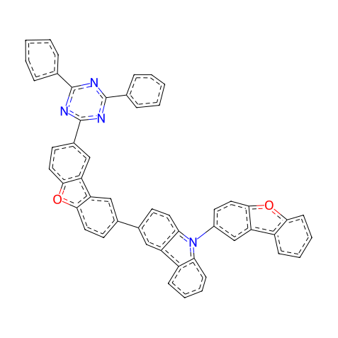 c1ccc(-c2nc(-c3ccccc3)nc(-c3ccc4oc5ccc(-c6ccc7c(c6)c6ccccc6n7-c6ccc7oc8ccccc8c7c6)cc5c4c3)n2)cc1